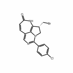 O=C1C=CC2=CN=C(c3ccc(Cl)cc3)N3C[C@@H](CBr)C(=C23)N1